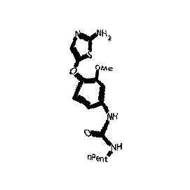 CCCCCNC(=O)Nc1ccc(Oc2cnc(N)s2)c(OC)c1